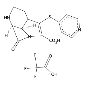 O=C(O)C(F)(F)F.O=C(O)C1=C(Sc2ccncc2)C2CCN[C@@H]3C(=O)N1[C@H]23